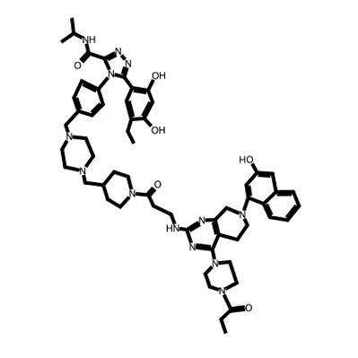 CCC(=O)N1CCN(c2nc(NCCC(=O)N3CCC(CN4CCN(Cc5ccc(-n6c(C(=O)NC(C)C)nnc6-c6cc(CC)c(O)cc6O)cc5)CC4)CC3)nc3c2CCN(c2cc(O)cc4ccccc24)C3)CC1